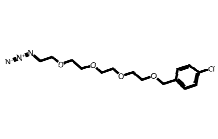 [N-]=[N+]=NCCOCCOCCOCCOCc1ccc(Cl)cc1